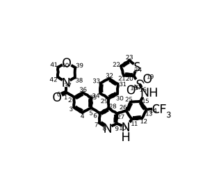 O=C(c1ccc(-c2cnc3[nH]c4cc(C(F)(F)F)c(NS(=O)(=O)c5cccs5)cc4c3c2-c2ccccc2)cc1)N1CCOCC1